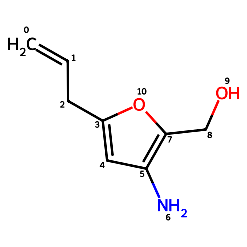 C=CCc1cc(N)c(CO)o1